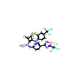 CN(Cc1ccc(-c2noc(C(F)(F)F)n2)cn1)c1c(Nc2ccc(C(F)(F)F)cc2Cl)c(=O)c1=O